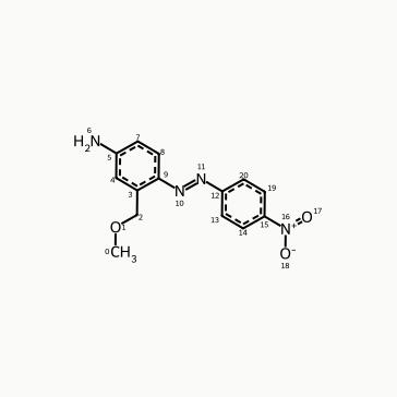 COCc1cc(N)ccc1N=Nc1ccc([N+](=O)[O-])cc1